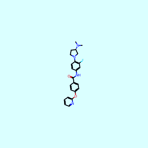 CN(C)[C@@H]1CCN(c2ccc(NC(=O)c3ccc(Oc4ccccn4)cc3)cc2F)C1